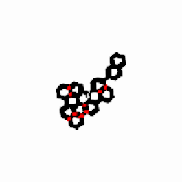 c1ccc(-c2ccc(-c3ccccc3)c(N(c3ccc(-c4ccc5ccccc5c4)cc3)c3ccccc3-c3cccc4cccc(C5CCCCC5)c34)c2)cc1